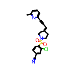 Cc1cccc(C#CC=C2CCN(S(=O)(=O)c3ccc(C#N)cc3Cl)CC2)n1